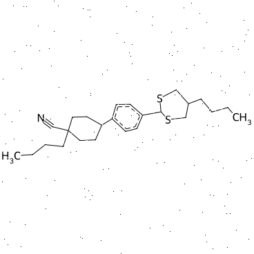 CCCCC1CSC(c2ccc(C3CCC(C#N)(CCCC)CC3)cc2)SC1